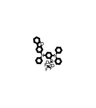 O=S(=O)(Oc1cc(N(c2ccccc2)c2ccc3c(c2)oc2ccccc23)ccc1N(c1ccccc1)c1ccccc1)C(F)(F)F